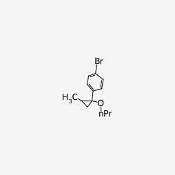 CCCOC1(c2ccc(Br)cc2)CC1C